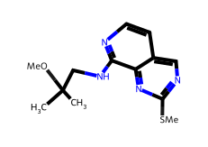 COC(C)(C)CNc1nccc2cnc(SC)nc12